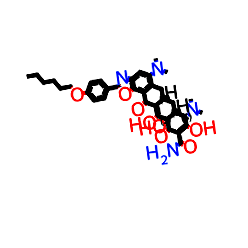 CCCCCCOc1ccc(-c2nc3cc(N(C)C)c4c(c3o2)C(=O)C2=C(O)[C@]3(O)C(=O)C(C(N)=O)=C(O)[C@@H](N(C)C)[C@@H]3C[C@@H]2C4)cc1